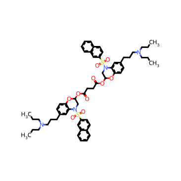 CCCN(CCC)CCCc1ccc2c(c1)N(S(=O)(=O)c1ccc3ccccc3c1)CC(OC(=O)CCC(=O)OC1CN(S(=O)(=O)c3ccc4ccccc4c3)c3cc(CCCN(CCC)CCC)ccc3O1)O2